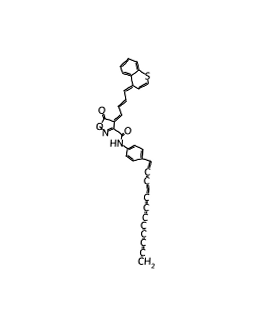 C=C=C=C=C=C=C=C=C=C=C=Cc1ccc(NC(=O)C2=NOC(=O)\C2=C/C=C/C=C2\C=CSc3ccccc32)cc1